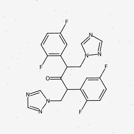 O=C(C(Cn1cncn1)c1cc(F)ccc1F)C(Cn1cncn1)c1cc(F)ccc1F